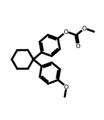 COC(=O)Oc1ccc(C2(c3ccc(OC)cc3)CCCCC2)cc1